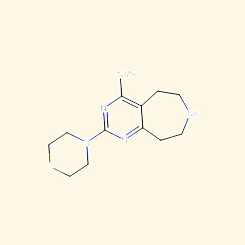 CNc1nc(N2CCSCC2)nc2c1CCNCC2